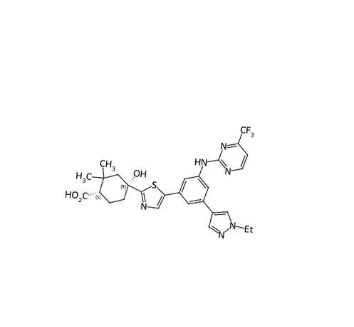 CCn1cc(-c2cc(Nc3nccc(C(F)(F)F)n3)cc(-c3cnc([C@@]4(O)CC[C@H](C(=O)O)C(C)(C)C4)s3)c2)cn1